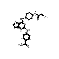 C=CC(=O)N[C@H]1CC[C@@H](Nc2nc(Nc3ccc(C(=O)NC)cc3)nc3ccsc23)CC1